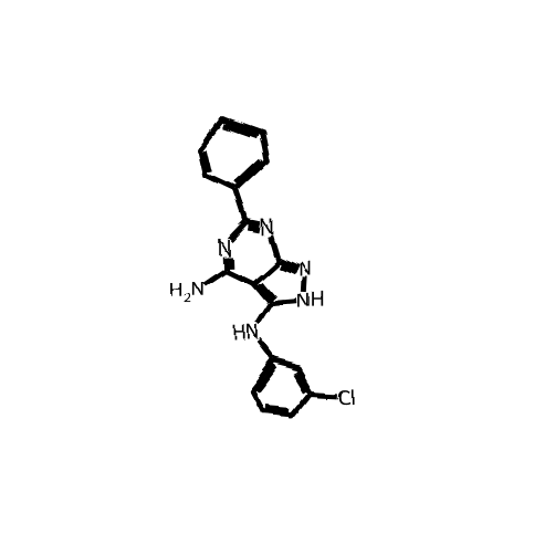 Nc1nc(-c2ccccc2)nc2n[nH]c(Nc3cccc(Cl)c3)c12